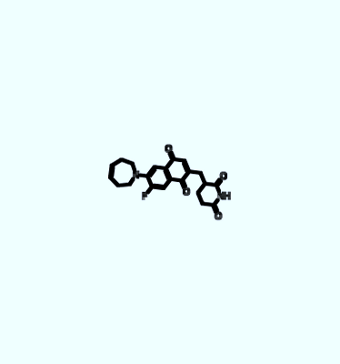 O=C1CCC(CC2=CC(=O)c3cc(N4CCC=CCC4)c(F)cc3C2=O)C(=O)N1